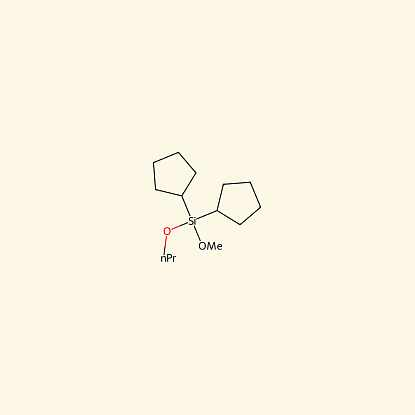 CCCO[Si](OC)(C1CCCC1)C1CCCC1